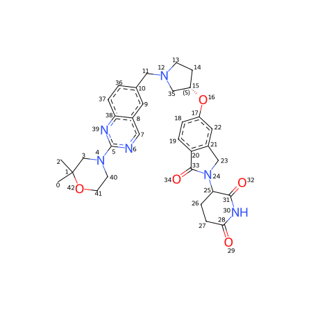 CC1(C)CN(c2ncc3cc(CN4CC[C@H](Oc5ccc6c(c5)CN(C5CCC(=O)NC5=O)C6=O)C4)ccc3n2)CCO1